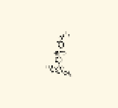 C[C@@H]1CN[C@H](C)[C@H](c2ccc(NC(=O)c3ccc(OCC(F)(F)F)nc3)cc2)O1